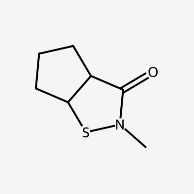 CN1SC2CCCC2C1=O